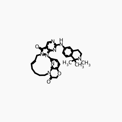 CN1CCc2cc(Nc3ncc4c(=O)n5n(c4n3)-c3ccc4c(n3)N(CCCC/C=C/C5)C(=O)CO4)ccc2C1(C)C